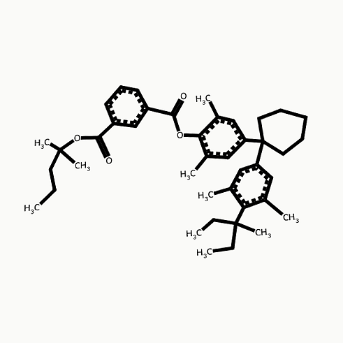 CCCC(C)(C)OC(=O)c1cccc(C(=O)Oc2c(C)cc(C3(c4cc(C)c(C(C)(CC)CC)c(C)c4)CCCCC3)cc2C)c1